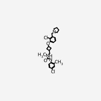 Cc1cc(Cl)ccc1NC(=O)N(C)CC1CC(Oc2cccc(CN3CCCC3)c2Cl)C1